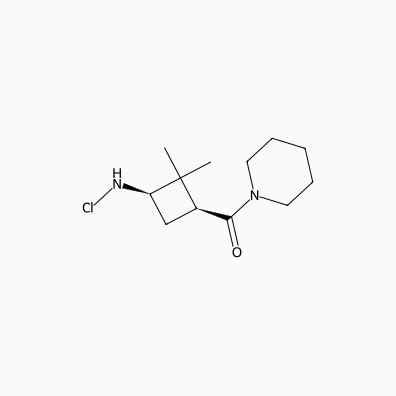 CC1(C)[C@@H](C(=O)N2CCCCC2)C[C@H]1NCl